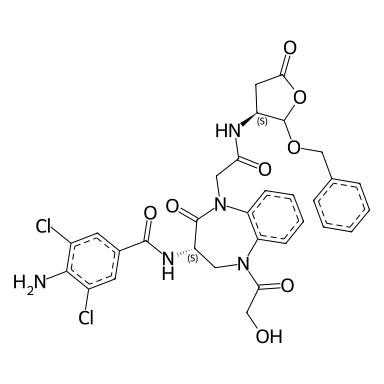 Nc1c(Cl)cc(C(=O)N[C@H]2CN(C(=O)CO)c3ccccc3N(CC(=O)N[C@H]3CC(=O)OC3OCc3ccccc3)C2=O)cc1Cl